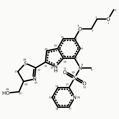 COCCOc1cc(N(C)S(=O)(=O)c2ccccn2)c2[nH]c(C3=NC(CO)CS3)cc2c1